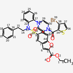 CCOC(=O)c1cc2cc(S(=O)(=O)N(CCc3ccccc3)c3ccccc3N3C=CN(C(=O)c4sccc4Br)C=C3)ccc2o1